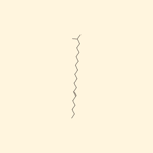 [CH2]C(C)CCCCCCCCCCCC=CCCCCC